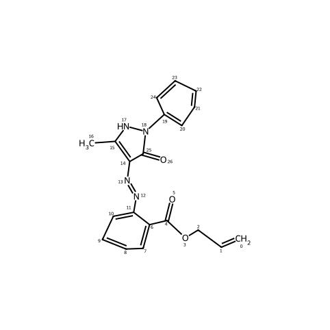 C=CCOC(=O)c1ccccc1/N=N/c1c(C)[nH]n(-c2ccccc2)c1=O